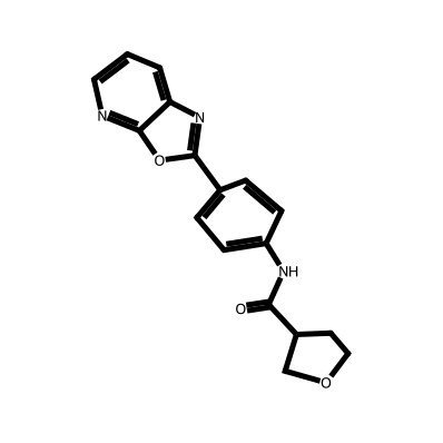 O=C(Nc1ccc(-c2nc3cccnc3o2)cc1)C1CCOC1